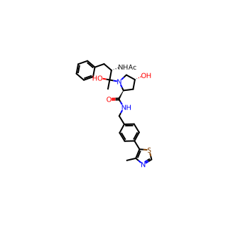 CC(=O)N[C@@H](Cc1ccccc1)C(C)(O)N1C[C@H](O)C[C@H]1C(=O)NCc1ccc(-c2scnc2C)cc1